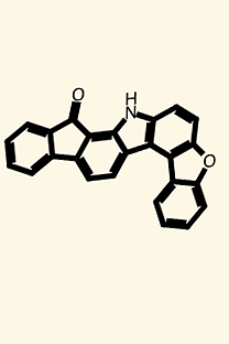 O=C1c2ccccc2-c2ccc3c([nH]c4ccc5oc6ccccc6c5c43)c21